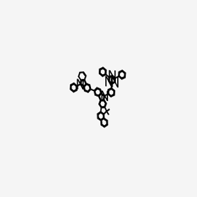 CC1(C)c2cc3c(cc2-c2ccc4ccccc4c21)c1cc(-c2ccc4c(c2)c2c(n4-c4ccccc4)CCC=C2)ccc1n3-c1cccc(-c2nc(-c3ccccc3)nc(-c3ccccc3)n2)c1